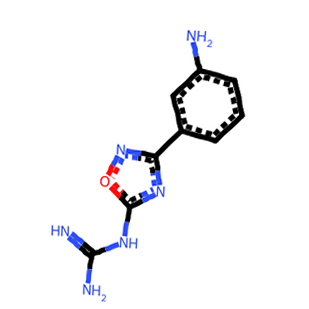 N=C(N)Nc1nc(-c2cccc(N)c2)no1